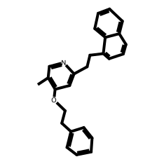 Cc1cnc(CCc2cccc3ccccc23)cc1OCCc1ccccc1